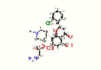 CN1CC[C@H](c2c(O)cc(O)c3c(=O)cc(-c4ccccc4Cl)oc23)[C@H](OC(=O)CN)C1